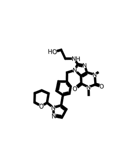 Cn1c(=O)c2c(nc(NCCO)n2Cc2ccc(-c3ccnn3C3CCCCO3)cc2)n(C)c1=O